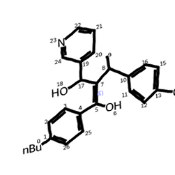 CCCCc1ccc(/C(O)=C(/C(C)c2ccc(Cl)cc2)C(O)c2cccnc2)cc1